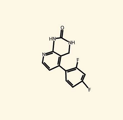 O=C1NCc2c(-c3ccc(F)cc3F)ccnc2N1